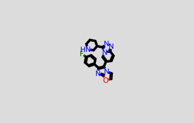 Fc1ccc(-c2nc3occn3c2-c2ccc3nnc(C4CCCNC4)n3c2)cc1